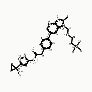 Cc1nc2ncc(-c3ccc(CC(=O)Nc4cc(C5(C(F)(F)F)CC5)on4)cc3)cc2n1COCC[Si](C)(C)C